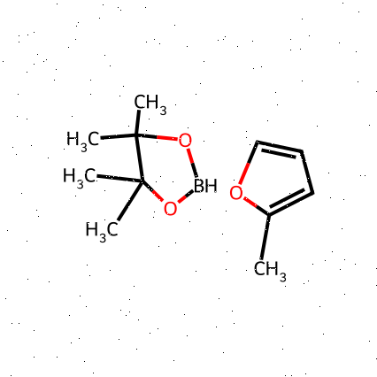 CC1(C)OBOC1(C)C.Cc1ccco1